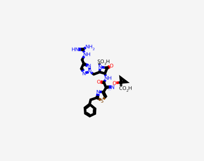 N=C(N)NCc1cnn(CC2C(NC(=O)/C(=N\OC3(C(=O)O)CC3)c3csc(Cc4ccccc4)n3)C(=O)N2S(=O)(=O)O)n1